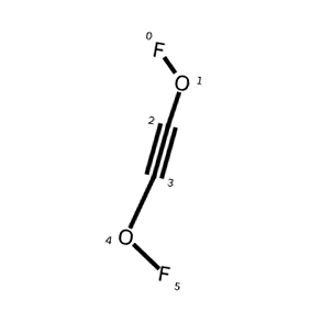 FOC#COF